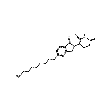 NCCCCCCCCc1ccc2c(n1)CN(C1CCC(=O)NC1=O)C2=O